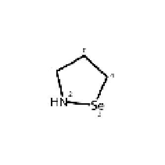 C1CN[Se]C1